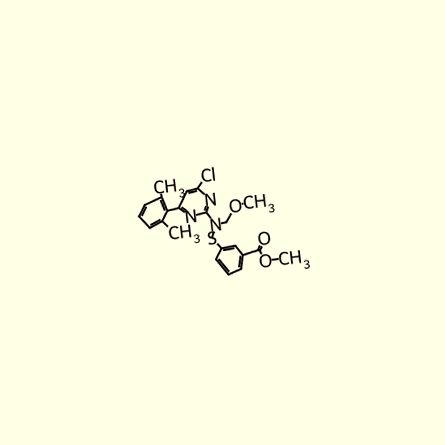 COCN(Sc1cccc(C(=O)OC)c1)c1nc(Cl)cc(-c2c(C)cccc2C)n1